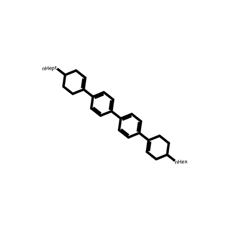 CCCCCCCC1CC=C(c2ccc(-c3ccc(C4=CCC(CCCCCC)CC4)cc3)cc2)CC1